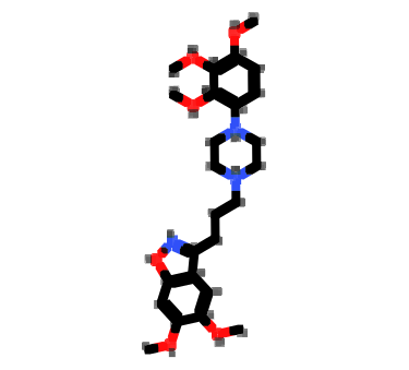 COc1cc2onc(CCCN3CCN(c4ccc(OC)c(OC)c4OC)CC3)c2cc1OC